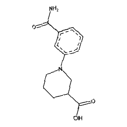 NC(=O)c1cccc(N2CCCC(C(=O)O)C2)c1